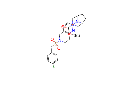 CC(C)(C)OC(=O)N1CC2CCC(C1)N2c1ccc2c(n1)CCN(S(=O)(=O)Cc1ccc(F)cc1)C2